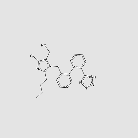 CCCCc1nc(Cl)c(CO)n1Cc1ccccc1-c1ccccc1-c1nnn[nH]1